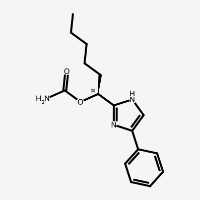 CCCCC[C@H](OC(N)=O)c1nc(-c2ccccc2)c[nH]1